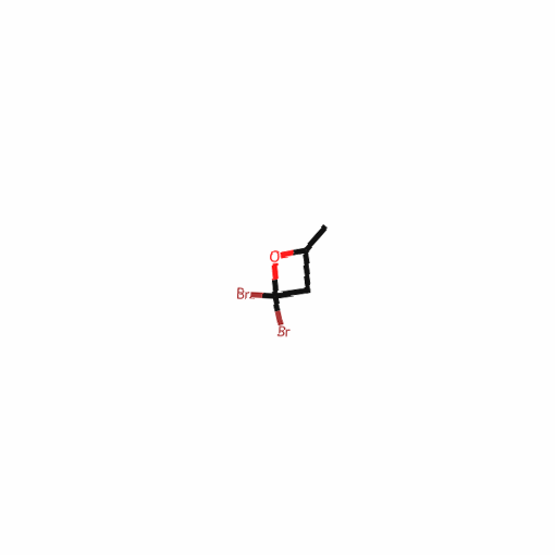 CC1CC(Br)(Br)O1